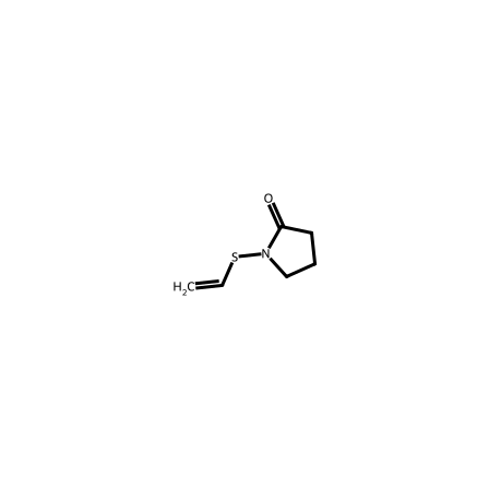 C=CSN1CCCC1=O